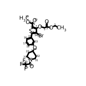 CCOC(=O)COc1c(C(=O)OC)sc(-c2cccc(OC3CCN(C(=O)C(F)(F)F)CC3)c2)c1Br